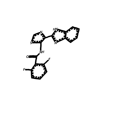 O=C(Nc1scnc1-c1nc2ccccc2[nH]1)c1c(F)cccc1F